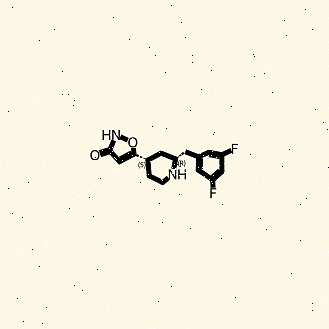 O=c1cc([C@H]2CCN[C@@H](Cc3cc(F)cc(F)c3)C2)o[nH]1